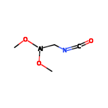 C[O][Al]([CH2]N=C=O)[O]C